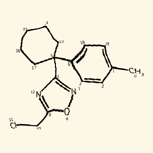 Cc1ccc(C2(c3noc(CCl)n3)CCCCC2)cc1